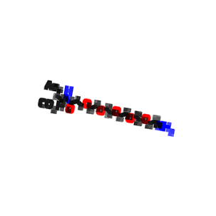 CC(=O)CCC(NC(=O)CCOCCOCCOCCOCCOCCN)C(=O)O